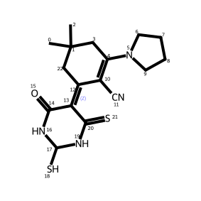 CC1(C)CC(N2CCCC2)=C(C#N)/C(=C2/C(=O)NC(S)NC2=S)C1